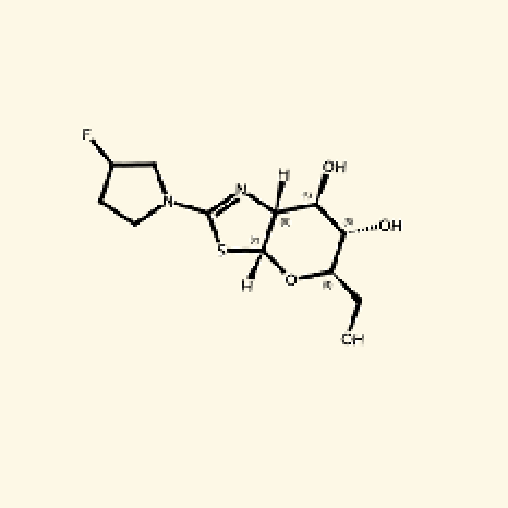 OC[C@H]1O[C@@H]2SC(N3CCC(F)C3)=N[C@@H]2[C@@H](O)[C@@H]1O